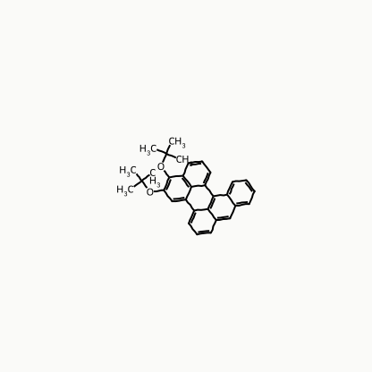 CC(C)(C)Oc1cc2c3cccc4cc5ccccc5c(c5cccc(c1OC(C)(C)C)c25)c43